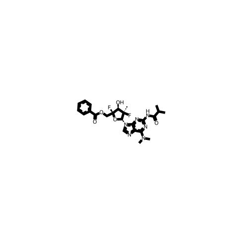 CC(C)C(=O)Nc1nc(N(C)C)c2ncn([C@@H]3O[C@](F)(COC(=O)c4ccccc4)[C@@H](O)[C@@]3(C)F)c2n1